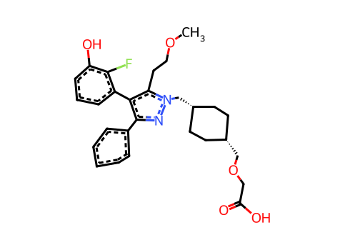 COCCc1c(-c2cccc(O)c2F)c(-c2ccccc2)nn1C[C@H]1CC[C@@H](COCC(=O)O)CC1